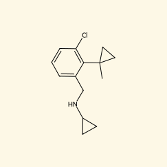 CC1(c2c(Cl)cccc2CNC2CC2)CC1